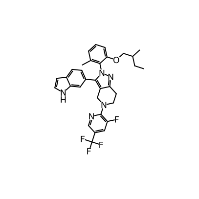 CCC(C)COc1cccc(C)c1-n1nc2c(c1-c1ccc3cc[nH]c3c1)CN(c1ncc(C(F)(F)F)cc1F)CC2